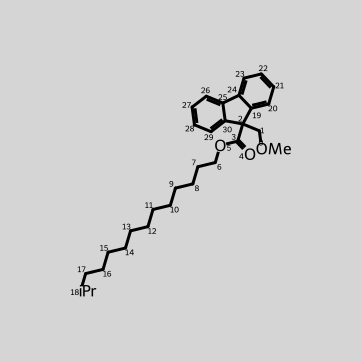 COCC1(C(=O)OCCCCCCCCCCCCC(C)C)c2ccccc2-c2ccccc21